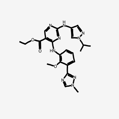 CCOC(=O)c1cnc(Nc2cnn(C(C)C)c2)nc1Nc1cccc(-c2ncn(C)n2)c1OC